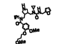 COCCCOc1cc(C(=O)N(CC2CNCC2CN(C(=O)NCc2ccco2)C2CC2)C(C)C)ccc1OC